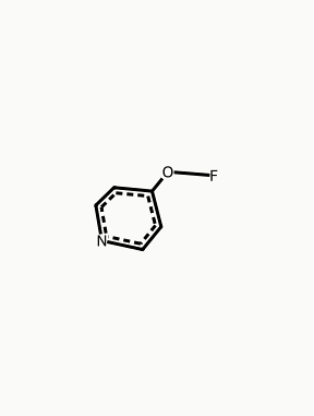 FOc1ccncc1